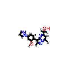 COc1cc(-n2cccn2)ccc1-c1c(C)nn2c(C)cc(C(C)(C)O)nc12